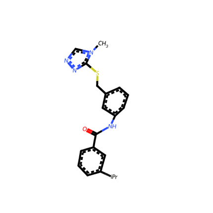 CC(C)c1cccc(C(=O)Nc2cccc(CSc3nncn3C)c2)c1